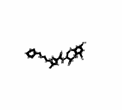 Cc1nc(C(=O)N[C@H]2COc3cc(F)cc(F)c3NC2=O)nn1CCOCc1ccccc1